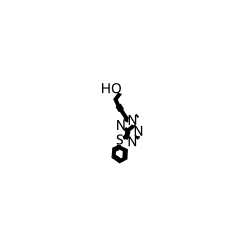 Cn1c(C#CCCO)nc2c(Sc3ccccc3)ncnc21